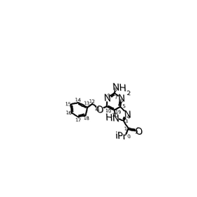 CC(C)C(=O)c1nc2nc(N)nc(OCc3ccccc3)c2[nH]1